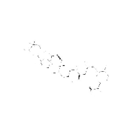 CC[C@@H](C(=O)[C@@H](C)[C@@H](O)[C@H](C)[C@@H]1O[C@@H]([C@@H](CC)C(=O)OC)CCC1C)[C@H]1O[C@@]2(C=C[C@H](O)[C@]3(CC[C@@](C)([C@H]4CC[C@](O)(CC)[C@H](C)O4)O3)O2)[C@H](C)C[C@@H]1C